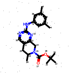 Cc1cc(C)cc(Nc2ncc3c(n2)CN(C(=O)OC(C)(C)C)C(C)C3)c1